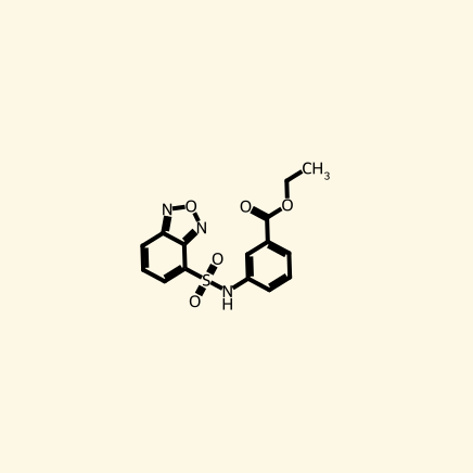 CCOC(=O)c1cccc(NS(=O)(=O)c2cccc3nonc23)c1